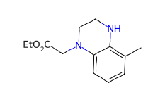 CCOC(=O)CN1CCNc2c(C)cccc21